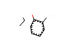 CC(=O)CC(C)=O.O=Cc1ccccc1O